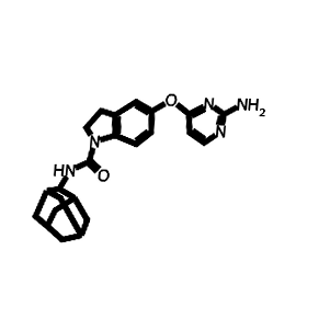 Nc1nccc(Oc2ccc3c(c2)CCN3C(=O)NC2C3CC4CC(C3)CC2C4)n1